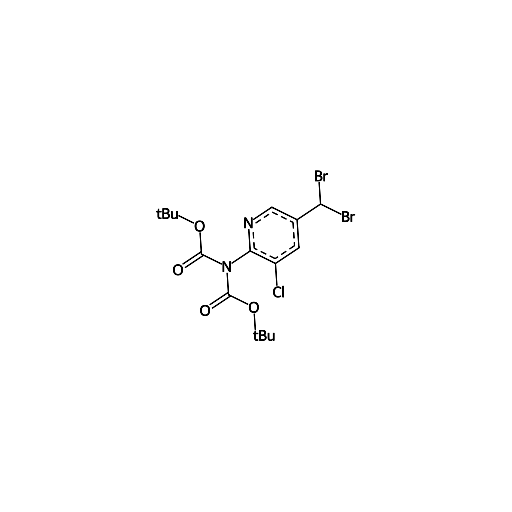 CC(C)(C)OC(=O)N(C(=O)OC(C)(C)C)c1ncc(C(Br)Br)cc1Cl